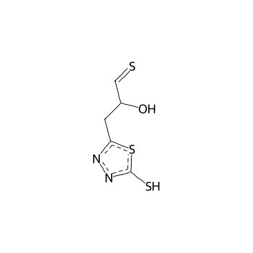 OC(C=S)Cc1nnc(S)s1